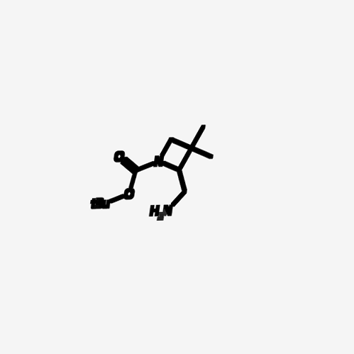 CC(C)(C)OC(=O)N1CC(C)(C)C1CN